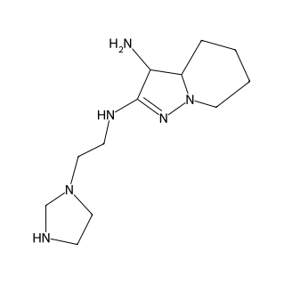 NC1C(NCCN2CCNC2)=NN2CCCCC12